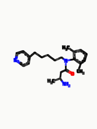 Cc1cccc(C)c1N(CCCCCc1ccncc1)C(=O)CC(C)N